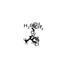 C[Si](C)(C)CCOCn1cc(C2CC2)c2cc(Cl)nnc21